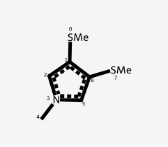 CSc1cn(C)cc1SC